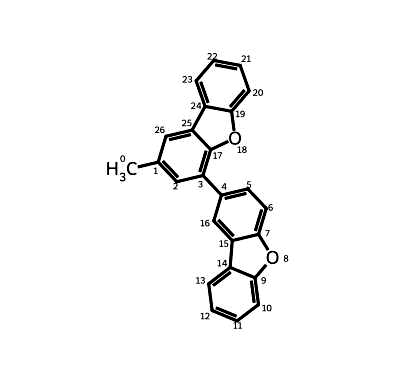 Cc1cc(-c2ccc3oc4ccccc4c3c2)c2oc3ccccc3c2c1